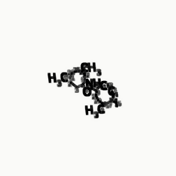 CC1CCCC(NC(=O)C2CCCCCC(I)CC(C)CC2)CC(C)CC1